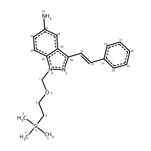 C[Si](C)(C)CCOCn1nc(C=Cc2ccccc2)c2cc(N)ccc21